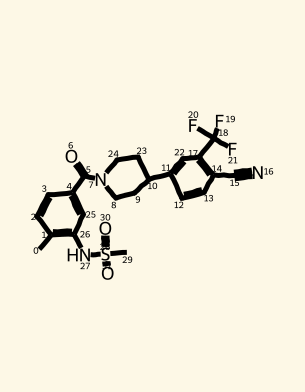 Cc1ccc(C(=O)N2CCC(c3ccc(C#N)c(C(F)(F)F)c3)CC2)cc1NS(C)(=O)=O